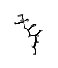 CCCC(=O)SC(O)C[N+](C)(C)C